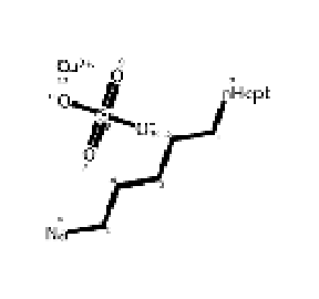 CCCCCCCCCCC[CH2][Na].O=S(=O)([O-])[O-].[Cu+2]